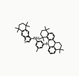 Cc1cc(Nc2csc3cc4c(cc23)C(C)(C)CCC4(C)C)cc(N2c3cccc4c3C(C)(CCC4(C)C)c3ccc4c(c32)C(C)(C)CCC4(C)C)c1